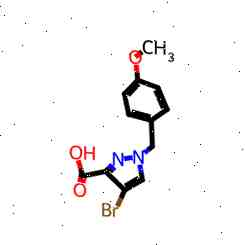 COc1ccc(Cn2cc(Br)c(C(=O)O)n2)cc1